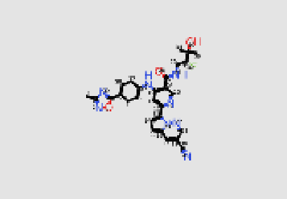 Cc1noc(C2CCC(Nc3cc(-c4ccc5cc(C#N)cnn45)ncc3C(=O)NC[C@@H](F)C(C)(C)O)CC2)n1